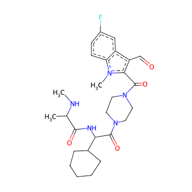 CNC(C)C(=O)NC(C(=O)N1CCN(C(=O)c2c(C=O)c3cc(F)ccc3n2C)CC1)C1CCCCC1